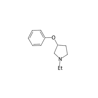 [CH2]CN1CCC(Oc2ccccc2)C1